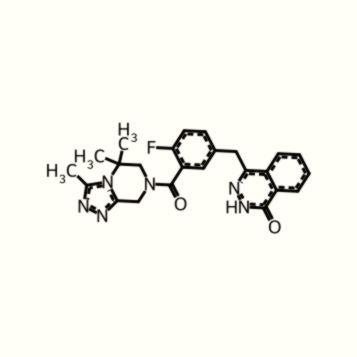 Cc1nnc2n1C(C)(C)CN(C(=O)c1cc(Cc3n[nH]c(=O)c4ccccc34)ccc1F)C2